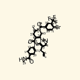 C=CCc1cnn2c3c(c(=O)n(-c4ccc(C(=O)NC)cc4)c12)C[C@@H](C)N(C(=O)c1ccc(Br)c(C(F)(F)F)c1)C3